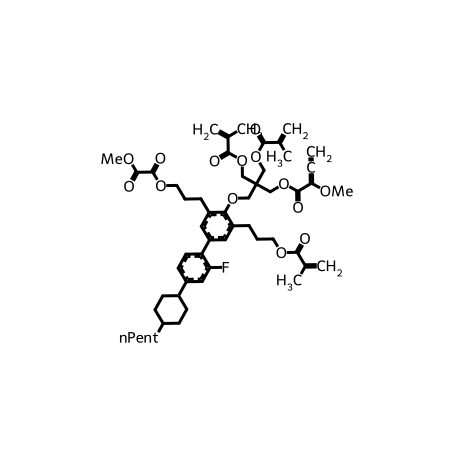 C=C=C(OC)C(=O)OCC(COC(=O)C(=C)C)(COC(=O)C(=C)C)COc1c(CCCOC(=O)C(=C)C)cc(-c2ccc(C3CCC(CCCCC)CC3)cc2F)cc1CCCOC(=O)C(=O)OC